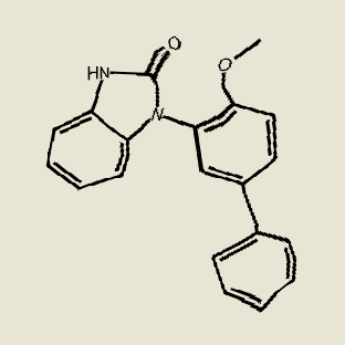 COc1ccc(-c2ccccc2)cc1-n1c(=O)[nH]c2ccccc21